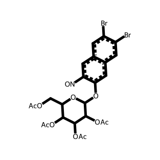 CC(=O)OCC1OC(Oc2cc3cc(Br)c(Br)cc3cc2N=O)C(OC(C)=O)C(OC(C)=O)C1OC(C)=O